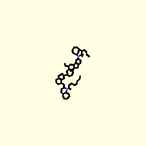 C=C/C=C\C1C2=CC(C=CC=C2)N(c2ccc3c(c2)C(=C/C(=C\C)C2=CC=CCC(c4ccc5c(c4)C(/C=C(\C=C/C)N(C(=C)/C=C\C=C/CCC)C4=CC=CC=CC4)CCC5)=C2)/C(=C\C)C3)C1(C)C